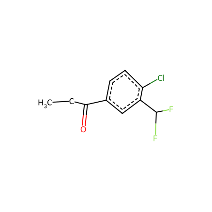 CCC(=O)c1ccc(Cl)c(C(F)F)c1